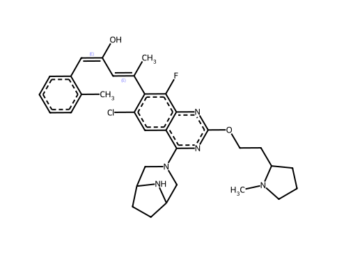 C/C(=C\C(O)=C/c1ccccc1C)c1c(Cl)cc2c(N3CC4CCC(C3)N4)nc(OCCC3CCCN3C)nc2c1F